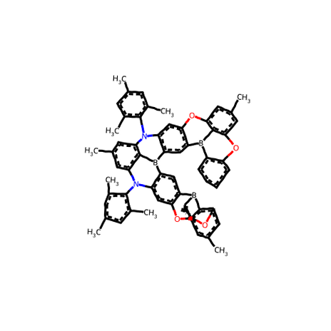 Cc1cc(C)c(N2c3cc4c(cc3B3c5cc6c(cc5N(c5c(C)cc(C)cc5C)c5cc(C)cc2c53)Oc2cc(C)cc3c2B6c2ccccc2O3)B2c3ccccc3Oc3cc(C)cc(c32)O4)c(C)c1